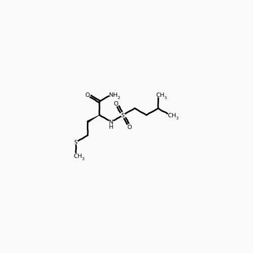 CSCC[C@H](NS(=O)(=O)CCC(C)C)C(N)=O